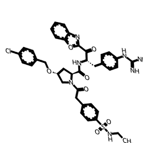 CCNS(=O)(=O)c1ccc(CC(=O)N2C[C@H](OCc3ccc(Cl)cc3)C[C@H]2C(=O)N[C@@H](Cc2ccc(NC(=N)N)cc2)C(=O)c2nc3ccccc3o2)cc1